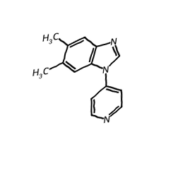 Cc1cc2ncn(-c3ccncc3)c2cc1C